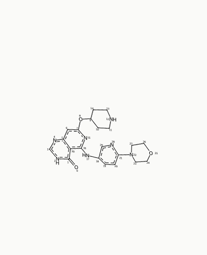 O=c1[nH]cnc2cc(OC3CCNCC3)nc(Nc3ccc(N4CCOCC4)nc3)c12